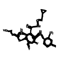 Cc1cc(I)ccc1Nc1c(F)c(F)c2nc(CCO)[nH]c2c1C(=O)NOCC1CC1